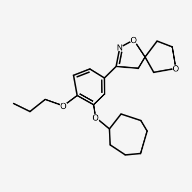 CCCOc1ccc(C2=NOC3(CCOC3)C2)cc1OC1CCCCCC1